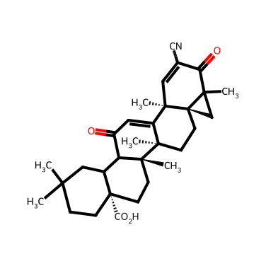 CC1(C)CC[C@]2(C(=O)O)CC[C@]3(C)C(C(=O)C=C4[C@@]5(C)C=C(C#N)C(=O)C6(C)C[C@]65CC[C@]43C)C2C1